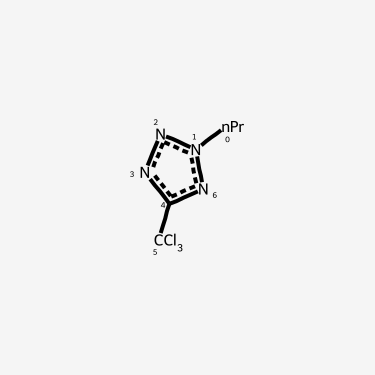 CCCn1nnc(C(Cl)(Cl)Cl)n1